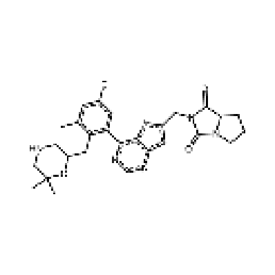 Cc1cc(Cl)cc(-c2ncnc3cc(CN4C(=O)C5CCCN5C4=O)sc23)c1CC1CNCC(C)(C)O1